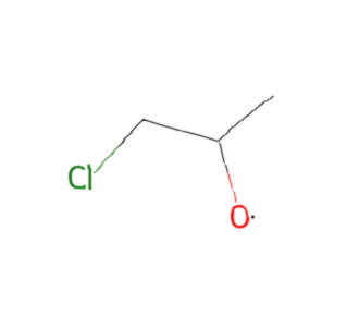 CC([O])CCl